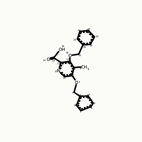 Cc1c(OCc2ccccc2)cnc(C(=O)O)c1OCc1ccccc1